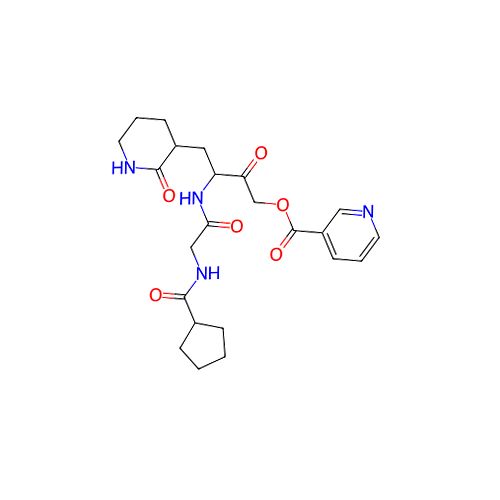 O=C(CNC(=O)C1CCCC1)NC(CC1CCCNC1=O)C(=O)COC(=O)c1cccnc1